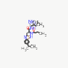 CCCC(=O)N[C@@H](Cc1nc2ccc(C(C)C)cc2s1)C(=O)N[C@H](CN)[C@@H](C)CC